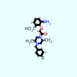 C[C@@H]1CN(Cc2ccc(F)cc2)[C@@H](C)CN1C(=O)COc1c(N)cccc1C(=O)O